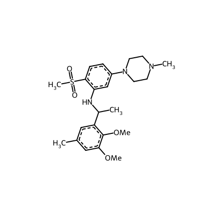 COc1cc(C)cc(C(C)Nc2cc(N3CCN(C)CC3)ccc2S(C)(=O)=O)c1OC